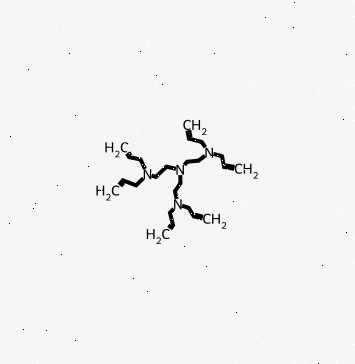 C=CCN(CC=C)CCN(CCN(CC=C)CC=C)CCN(CC=C)CC=C